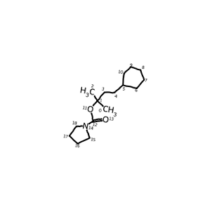 CC(C)(CCC1CCCCC1)OC(=O)N1CCCC1